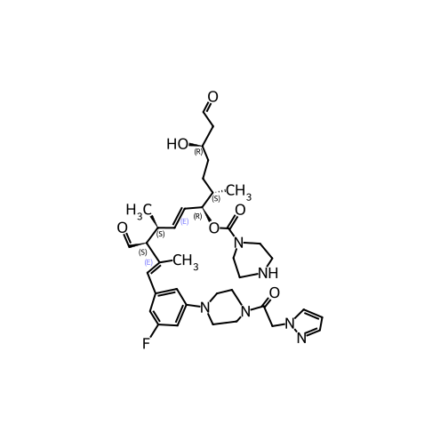 C/C(=C\c1cc(F)cc(N2CCN(C(=O)Cn3cccn3)CC2)c1)[C@@H](C=O)[C@@H](C)/C=C/[C@H](OC(=O)N1CCNCC1)[C@@H](C)CC[C@@H](O)CC=O